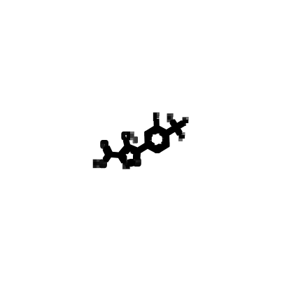 Cc1c(C(=O)O)noc1-c1ccc(C(F)(F)F)c(F)c1